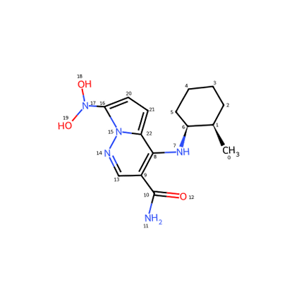 C[C@@H]1CCCC[C@@H]1Nc1c(C(N)=O)cnn2c(N(O)O)ccc12